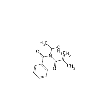 C=C(C)C(=O)N(C(=O)c1ccccc1)C(C)C